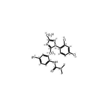 CC(C)c1ccc(NC(=O)N(C)C)cc1.O=C(O)c1nc(C(Cl)(Cl)Cl)n(-c2ccc(Cl)cc2Cl)n1